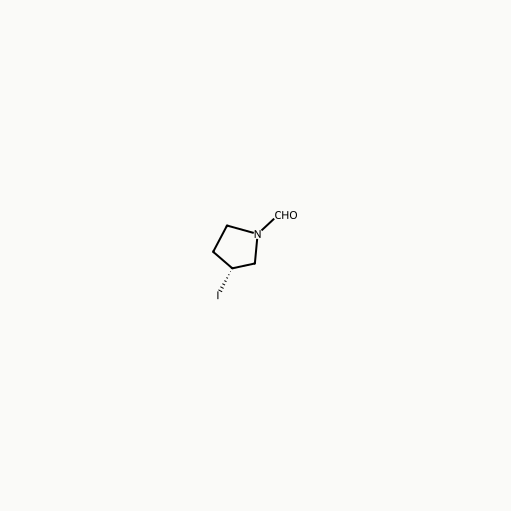 O=CN1CC[C@@H](I)C1